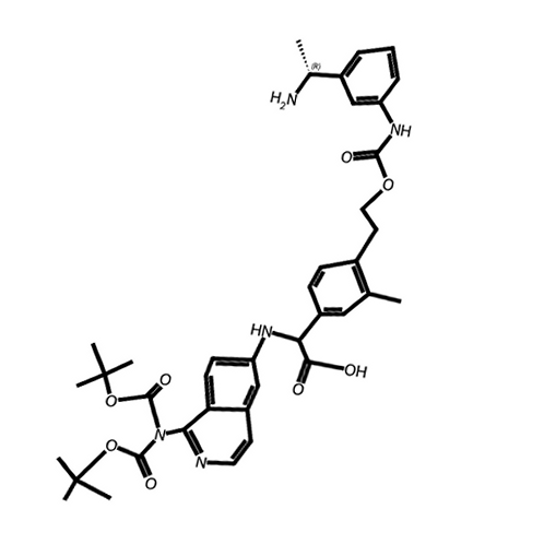 Cc1cc(C(Nc2ccc3c(N(C(=O)OC(C)(C)C)C(=O)OC(C)(C)C)nccc3c2)C(=O)O)ccc1CCOC(=O)Nc1cccc([C@@H](C)N)c1